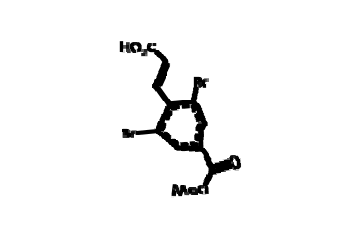 COC(=O)c1cc(Br)c(C=CC(=O)O)c(Br)c1